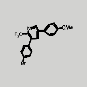 COc1ccc(-c2cnc(C(F)(F)F)c(-c3ccc(Br)cc3)c2)cc1